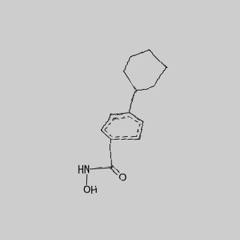 O=C(NO)c1ccc(C2CCCCC2)cc1